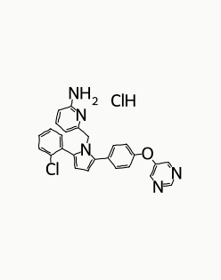 Cl.Nc1cccc(Cn2c(-c3ccc(Oc4cncnc4)cc3)ccc2-c2ccccc2Cl)n1